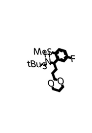 CSc1ccc(F)cc1C(CCC1OCCCO1)NSC(C)(C)C